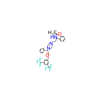 CC(=O)NC(CCN1CCN(C(COCc2cc(C(F)(F)F)cc(C(F)(F)F)c2)c2ccccc2)CC1)c1ccccc1